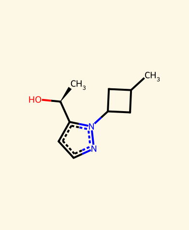 CC1CC(n2nccc2[C@H](C)O)C1